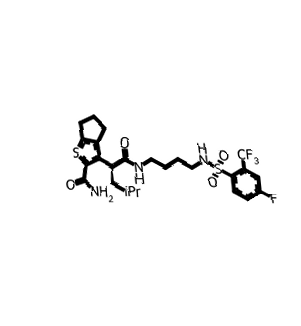 CC(C)C[C@H](C(=O)NCCCCNS(=O)(=O)c1ccc(F)cc1C(F)(F)F)c1c(C(N)=O)sc2c1CCC2